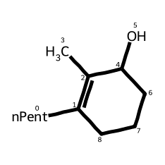 CCCCCC1=C(C)C(O)CCC1